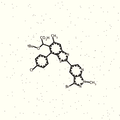 Cc1cc2nc(-c3cnc4c(c3)c(Br)nn4C)sc2c(-c2ccc(Cl)cc2)c1C(OC(C)(C)C)C(=O)O